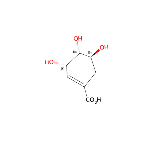 O=C(O)C1=C[C@H](O)[C@H](O)[C@@H](O)C1